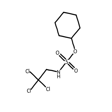 O=S(=O)(NCC(Cl)(Cl)Cl)OC1CCCCC1